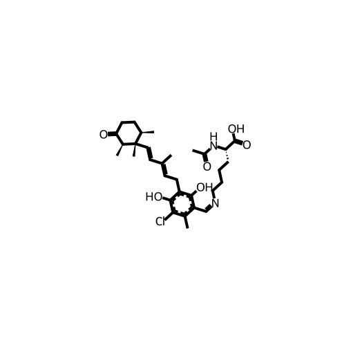 CC(=O)N[C@@H](CCCC/N=C\c1c(C)c(Cl)c(O)c(C/C=C(C)/C=C/[C@@]2(C)[C@H](C)CCC(=O)[C@@H]2C)c1O)C(=O)O